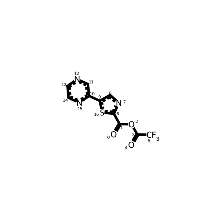 O=C(OC(=O)C(F)(F)F)c1ncc(-c2cnccn2)s1